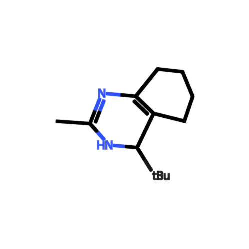 CC1=NC2=C(CCCC2)C(C(C)(C)C)N1